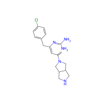 C=C(/C=C(/Cc1ccc(Cl)cc1)N=C(N)N)N1CC2CNCC2C1